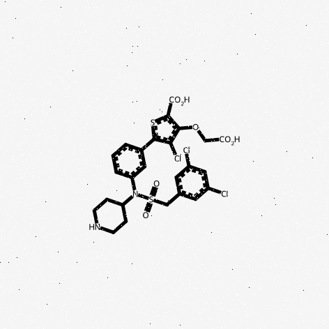 O=C(O)COc1c(C(=O)O)sc(-c2cccc(N(C3CCNCC3)S(=O)(=O)Cc3cc(Cl)cc(Cl)c3)c2)c1Cl